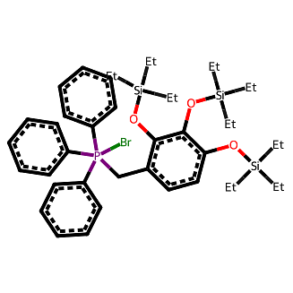 CC[Si](CC)(CC)Oc1ccc(CP(Br)(c2ccccc2)(c2ccccc2)c2ccccc2)c(O[Si](CC)(CC)CC)c1O[Si](CC)(CC)CC